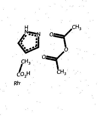 CC(=O)O.CC(=O)OC(C)=O.[Rh].c1cn[nH]c1